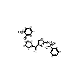 O=C(c1csc(NS(=O)(=O)c2ccccc2)n1)N1CC[C@H](Oc2ccccc2Cl)C1